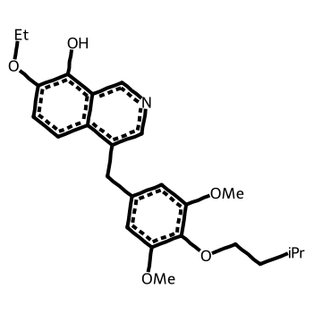 CCOc1ccc2c(Cc3cc(OC)c(OCCC(C)C)c(OC)c3)cncc2c1O